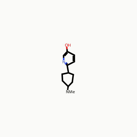 CNC1CCC(c2ccc(O)cn2)CC1